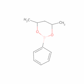 CC1CC(C)OB(c2ccccc2)O1